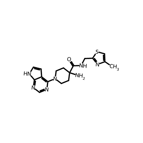 Cc1csc(CNC(=O)C2(N)CCN(c3ncnc4[nH]ccc34)CC2)n1